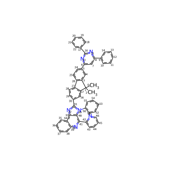 CC1(C)c2cc(-c3cc(-c4ccccc4)nc(-c4ccccc4)n3)ccc2-c2ccc(-c3nc4c5ccccc5nc(-c5ccccn5)c4n3-c3ccccc3)cc21